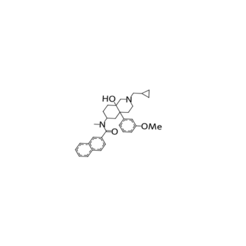 COc1cccc(C23CCN(CC4CC4)CC2(O)CCC(N(C)C(=O)c2ccc4ccccc4c2)C3)c1